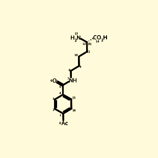 CC(=O)c1ccc(C(=O)NCCCC[C@H](N)C(=O)O)cc1